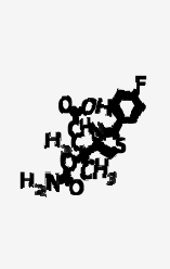 CC(=O)O.CC(C)(OC(N)=O)c1csc(-c2ccc(F)cc2)n1